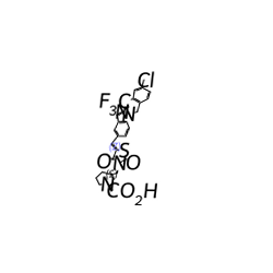 O=C1S/C(=C\c2ccc3c(cnn3Cc3ccc(Cl)cc3C(F)(F)F)c2)C(=O)N1C[C@@H]1CCCN1C(=O)O